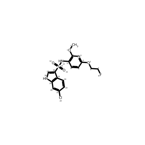 COc1nc(OCCF)ccc1NS(=O)(=O)c1c[nH]c2cc(Cl)ccc12